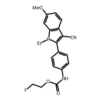 CCn1c(-c2ccc(NC(=O)OCCF)cc2)c(C#N)c2ccc(OC)cc21